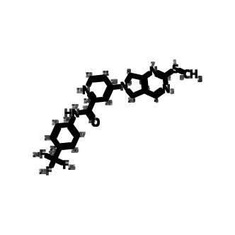 CSc1ncc2c(n1)CN(c1ccnc(C(=O)Nc3ccc(C(F)(F)F)cc3)c1)C2